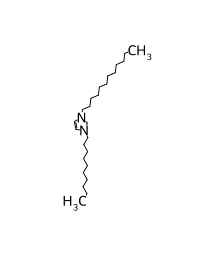 CCCCCCCCCCCCN1C=CN(CCCCCCCCCC)C1